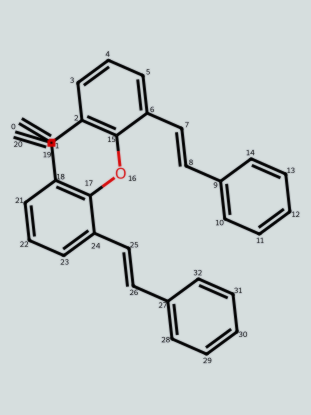 C=Cc1cccc(C=Cc2ccccc2)c1Oc1c(C=C)cccc1C=Cc1ccccc1